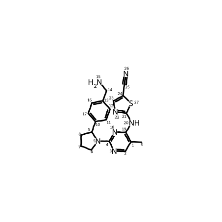 Cc1cnc(N2CCCC2c2ccc(CN)cc2)nc1Nc1ncc(C#N)s1